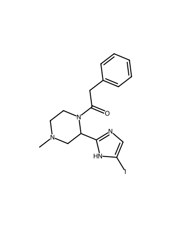 CN1CCN(C(=O)Cc2ccccc2)C(c2ncc(I)[nH]2)C1